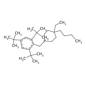 CCCCC1(CC)CCP(Cc2c(C(C)(C)C)cc(C(C)(C)C)cc2C(C)(C)C)CC1